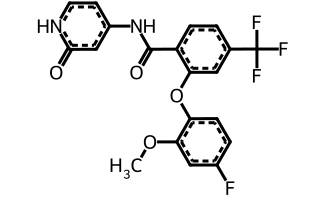 COc1cc(F)ccc1Oc1cc(C(F)(F)F)ccc1C(=O)Nc1cc[nH]c(=O)c1